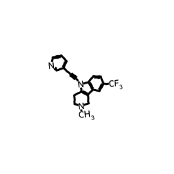 CN1CCc2c(c3cc(C(F)(F)F)ccc3n2C#Cc2cccnc2)C1